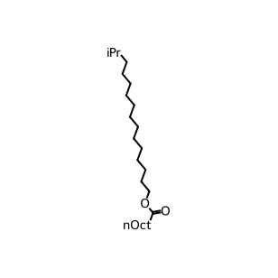 CCCCCCCCC(=O)OCCCCCCCCCCCCCC(C)C